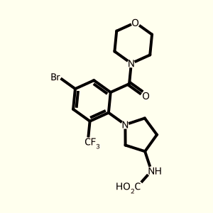 O=C(O)NC1CCN(c2c(C(=O)N3CCOCC3)cc(Br)cc2C(F)(F)F)C1